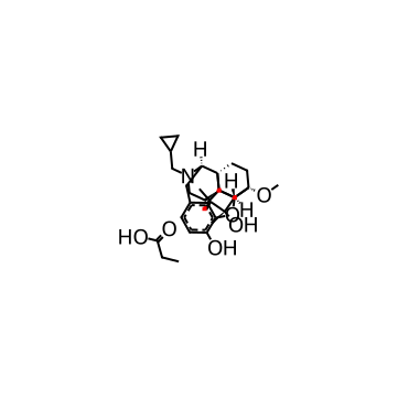 CCC(=O)O.CO[C@@]12CC[C@@]3(C[C@@H]1[C@](C)(O)C(C)(C)C)[C@H]1Cc4ccc(O)c5c4[C@@]3(CCN1CC1CC1)[C@H]2O5